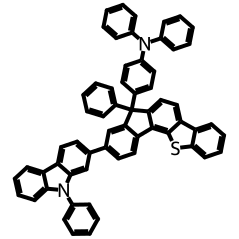 c1ccc(N(c2ccccc2)c2ccc(C3(c4ccccc4)c4cc(-c5ccc6c7ccccc7n(-c7ccccc7)c6c5)ccc4-c4c3ccc3c4sc4ccccc43)cc2)cc1